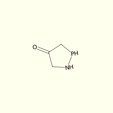 O=C1CNPC1